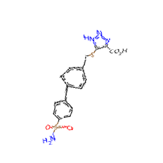 NS(=O)(=O)c1ccc(-c2ccc(CSc3[nH]nnc3C(=O)O)cc2)cc1